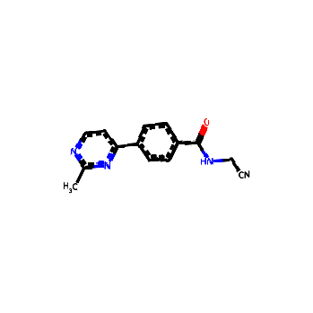 Cc1nccc(-c2ccc(C(=O)NCC#N)cc2)n1